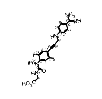 Cc1cc(N(C(=O)NCC(=O)O)C(C)C)c(F)cc1C#CCNc1ccc(C(=N)N)cc1